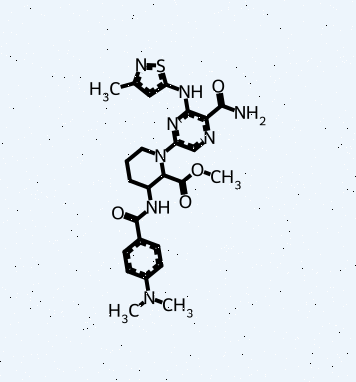 COC(=O)C1C(NC(=O)c2ccc(N(C)C)cc2)CCCN1c1cnc(C(N)=O)c(Nc2cc(C)ns2)n1